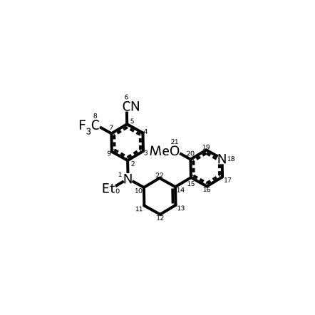 CCN(c1ccc(C#N)c(C(F)(F)F)c1)C1CCC=C(c2ccncc2OC)C1